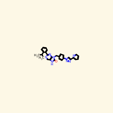 CC(C)c1ccccc1-c1ncc2[nH]c(=O)n(Cc3ccc(-n4cc(-c5ccccn5)nn4)cc3)c2n1